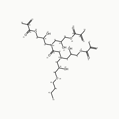 C=C(C)C(=O)OCC(O)CN(CC(=O)N(CC(O)COC(=O)C(=C)C)CC(O)COC(=O)C(=C)C)CC(O)COCCCC